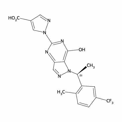 Cc1ccc(C(F)(F)F)cc1[C@H](C)n1ncc2nc(-n3cc(C(=O)O)cn3)nc(O)c21